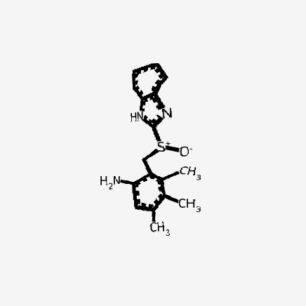 Cc1cc(N)c(C[S+]([O-])c2nc3ccccc3[nH]2)c(C)c1C